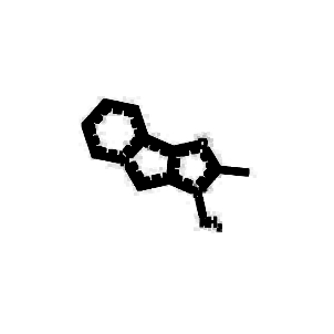 Cc1oc2c3ccccn3cc2[n+]1N